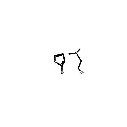 Brc1cccs1.CN(C)CCO